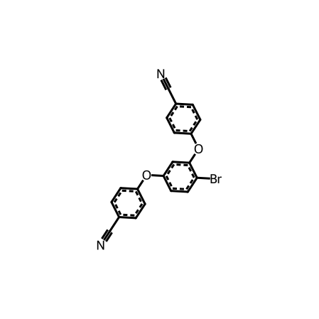 N#Cc1ccc(Oc2ccc(Br)c(Oc3ccc(C#N)cc3)c2)cc1